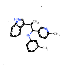 C=C(c1c[nH]c2ccccc12)C(Nc1cccc(C)c1)c1ccc(C)nc1